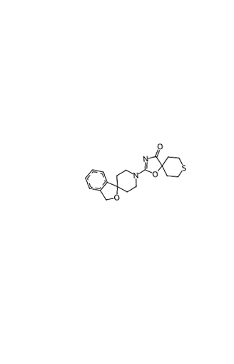 O=C1N=C(N2CCC3(CC2)OCc2ccccc23)OC12CCSCC2